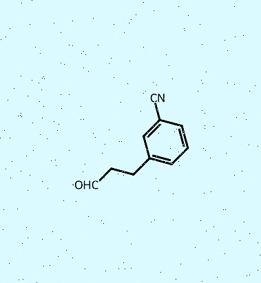 N#Cc1cccc(CC[C]=O)c1